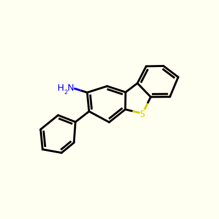 Nc1cc2c(cc1-c1ccccc1)sc1ccccc12